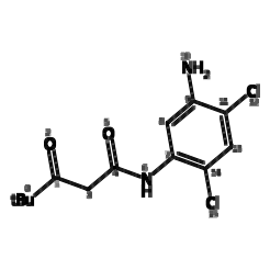 CC(C)(C)C(=O)CC(=O)Nc1cc(N)c(Cl)cc1Cl